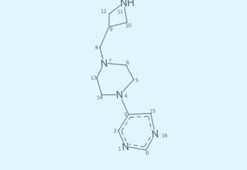 c1ncc(N2CCN(CC3CNC3)CC2)cn1